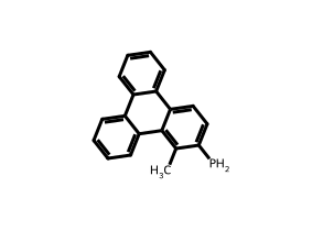 Cc1c(P)ccc2c3ccccc3c3ccccc3c12